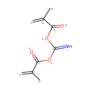 C=C(C)C(=O)OC(=N)OC(=O)C(=C)C